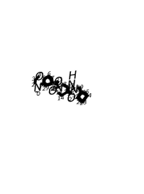 CN1CCOc2ccc(S(=O)(=O)N3CCc4c([nH]n(Cc5ccccc5)c4=O)C3)cc21